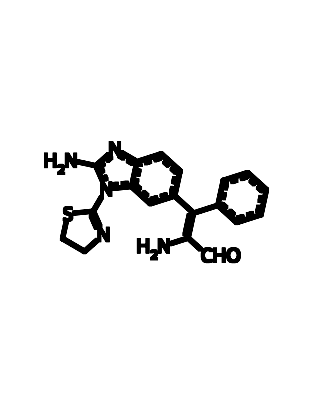 NC(C=O)=C(c1ccccc1)c1ccc2nc(N)n(C3=NCCS3)c2c1